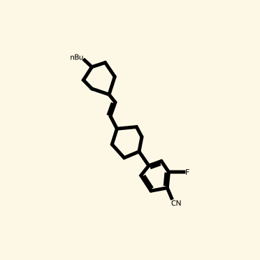 CCCCC1CCC(/C=C/C2CCC(c3ccc(C#N)c(F)c3)CC2)CC1